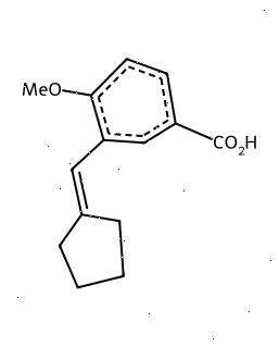 COc1ccc(C(=O)O)cc1C=C1CCCC1